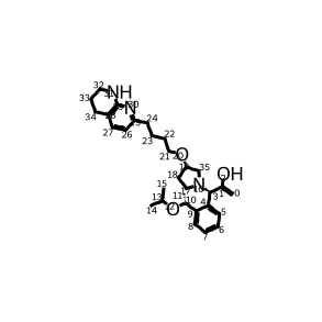 C=C(O)[C@@H](c1ccccc1[C@@H](C)OC(C)C)N1CC[C@@H](OCCCCc2ccc3c(n2)NCCC3)C1